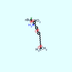 C=C(C)C(=O)OCCCCCCCCCCc1ccc(C(=O)Oc2ccc(C=Cc3cc([N+](=O)[O-])c(OC(=O)[C@H](F)CCCC)cc3N)cc2)cc1